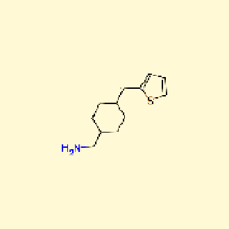 NCC1CCC([CH]c2cccs2)CC1